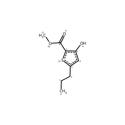 CCCc1cc(O)c(C(=O)OC)s1